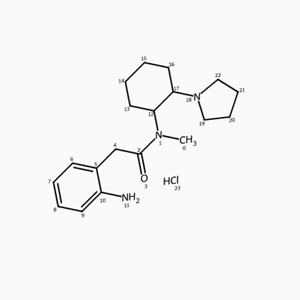 CN(C(=O)Cc1ccccc1N)C1CCCCC1N1CCCC1.Cl